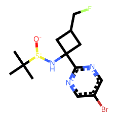 CC(C)(C)[S+]([O-])NC1(c2ncc(Br)cn2)CC(CF)C1